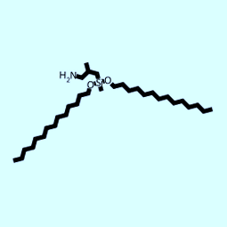 CCCCCCCCCCCCCCO[Si](C)(CC(C)CN)OCCCCCCCCCCCCCC